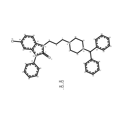 Cl.Cl.O=c1n(CCCN2CCN(C(c3ccccc3)c3ccccc3)CC2)c2ccc(Cl)cc2n1-c1ccccc1